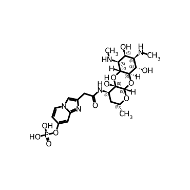 CN[C@@H]1[C@H](O)[C@H](NC)[C@H]2O[C@]3(O)[C@H](O[C@@H]2[C@H]1O)O[C@H](C)C[C@H]3NC(=O)Cc1cn2ccc(OP(=O)(O)O)cc2n1